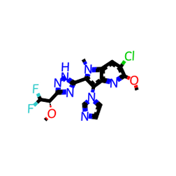 COc1nc2c(-n3ccnc3)c(-c3nc([C@H](OC)C(F)F)n[nH]3)n(C)c2cc1Cl